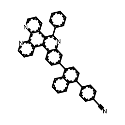 N#Cc1ccc(-c2ccc(-c3ccc4c(c3)nc(-c3ccccc3)c3c5cccnc5c5ncccc5c43)c3ccccc23)cc1